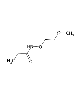 CCC(=O)NOCCOC